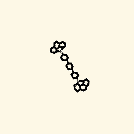 c1cc2ccc3cccc4c3c2c(c1)n4-c1ccc(-c2ccc(-c3ccc(-n4c5cccc6ccc7cccc4c7c65)cc3)cc2)cc1